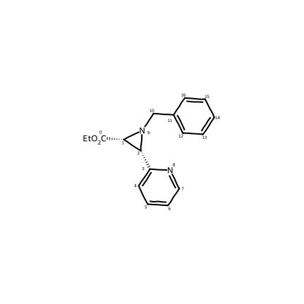 CCOC(=O)[C@H]1[C@@H](c2ccccn2)N1Cc1ccccc1